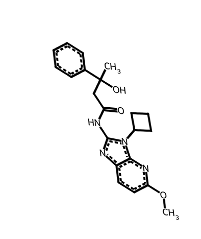 COc1ccc2nc(NC(=O)CC(C)(O)c3ccccc3)n(C3CCC3)c2n1